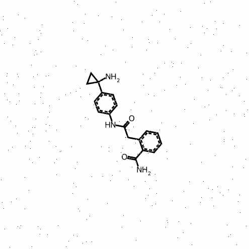 NC(=O)c1ccccc1[CH]C(=O)Nc1ccc(C2(N)CC2)cc1